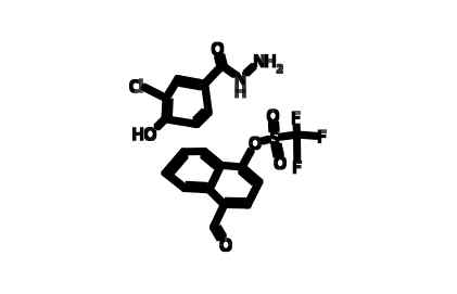 NNC(=O)c1ccc(O)c(Cl)c1.O=Cc1ccc(OS(=O)(=O)C(F)(F)F)c2ccccc12